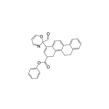 O=CC1(C2=CC(C(=O)Oc3ccccc3)Cc3c2ccc2c3CCc3ccccc3-2)N=CC=CO1